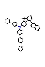 CC1(C)c2cc(N(c3ccc(-c4ccc(C5CC6CCC5C6)cc4)cc3)c3ccc(C4CCCCC4)cc3)ccc2-c2c(-c3ccc4ccccc4c3)cccc21